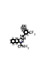 NC(=O)/C(=C/n1cnc(-c2cc(C(F)(F)F)cc(S(F)(F)(F)(F)F)c2)n1)c1cnc2ccccc2c1